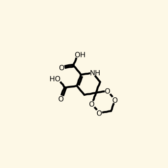 O=C(O)C1=C(C(=O)O)NCC2(C1)OOCOO2